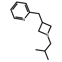 C[C](C)CN1CC(Cc2ccccn2)C1